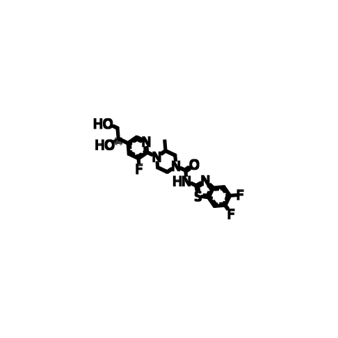 CC1CN(C(=O)Nc2nc3cc(F)c(F)cc3s2)CCN1c1ncc([C@H](O)CO)cc1F